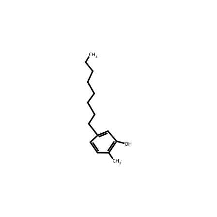 [CH2]c1ccc(CCCCCCCC)cc1O